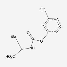 CCCc1cccc(OC(=O)NC(C(=O)O)C(C)CC)c1